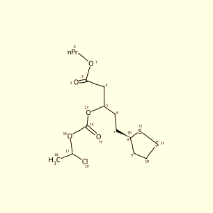 CCCOC(=O)CC(CC[C@@H]1CCSS1)OC(=O)OC(C)Cl